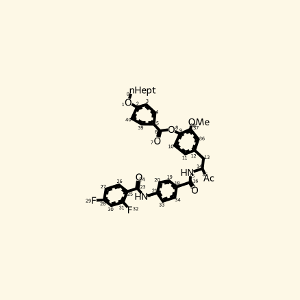 CCCCCCCOc1ccc(C(=O)Oc2ccc(CC(NC(=O)c3ccc(NC(=O)c4ccc(F)cc4F)cc3)C(C)=O)cc2OC)cc1